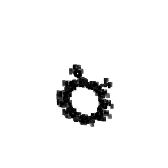 CC[C@H](C)[C@@H]1NC(=O)[C@H](CC(C)C)N(C)C(=O)C[C@@H](C(=O)N2CCCCC2)N(C)C(=O)[C@H](CC(C)C)N(C)C(=O)C(C)(C)NC(=O)[C@H](CC(C)C)N(C)C(=O)[C@H](CCc2ccc(C(F)(F)F)c(F)c2)NC(=O)CN(C)C(=O)[C@H](C#CCCC(F)F)N(C)C(=O)CN(C)C(=O)CN(C)C1=O